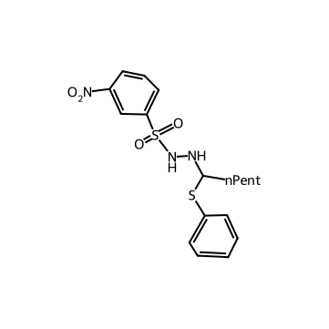 CCCCCC(NNS(=O)(=O)c1cccc([N+](=O)[O-])c1)Sc1ccccc1